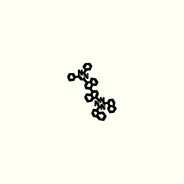 c1ccc(-c2cc(-c3ccc(-c4ccc(-c5nc(-c6cccc7ccccc67)nc(-c6cccc7ccccc67)n5)c5ccccc45)c4ccccc34)nc(-c3ccccc3)n2)cc1